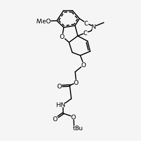 COc1ccc2c3c1OC1CC(OCOC(=O)CNC(=O)OC(C)(C)C)C=CC31CCN(C)C2